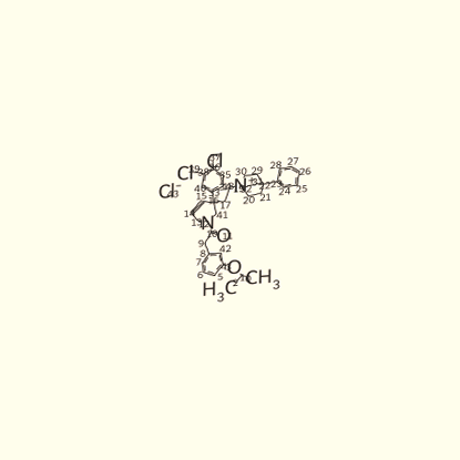 CC(C)Oc1cccc(CC(=O)N2CC#CC(CC[N+]34CCC(c5ccccc5)(CC3)CC4)(c3ccc(Cl)c(Cl)c3)C2)c1.[Cl-]